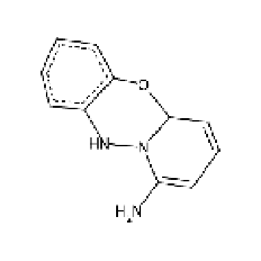 NC1=CC=CC2Oc3ccccc3NN12